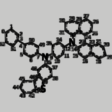 c1ccc(-c2ccc(N(c3ccc(N4c5ccc6ccccc6c5-c5cccc6cccc4c56)cc3)c3ccc4sc5ccccc5c4c3)cc2)cc1